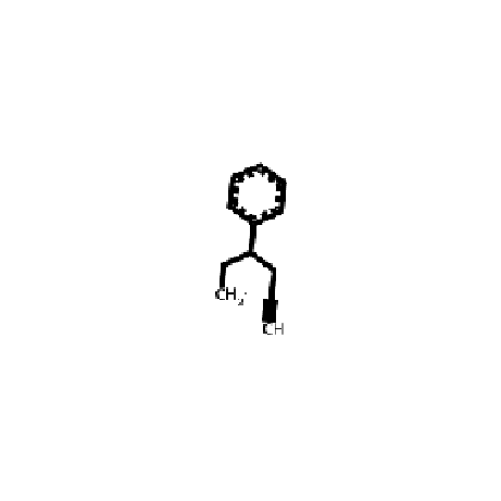 C#CCC(C[CH2])c1ccccc1